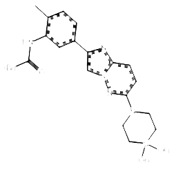 Cc1ccc(-c2cn3nc(N4CCS(O)(O)CC4)ccc3n2)cc1NC(=O)C(C)(C)C